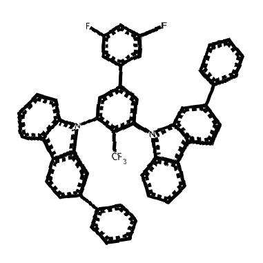 Fc1cc(F)cc(-c2cc(-n3c4ccccc4c4ccc(-c5ccccc5)cc43)c(C(F)(F)F)c(-n3c4ccccc4c4ccc(-c5ccccc5)cc43)c2)c1